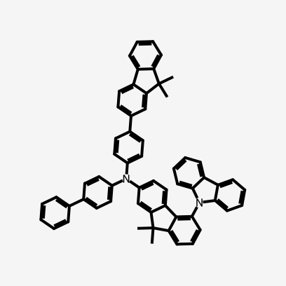 CC1(C)c2ccccc2-c2ccc(-c3ccc(N(c4ccc(-c5ccccc5)cc4)c4ccc5c(c4)C(C)(C)c4cccc(-n6c7ccccc7c7ccccc76)c4-5)cc3)cc21